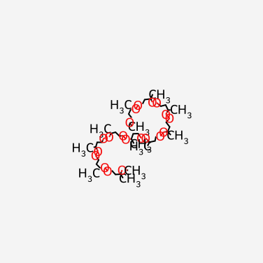 COCCC(C)OOCCC(C)OOCCC(C)OOCCC(C)OOCCC(C)OOCCC(C)OOCCC(C)OOCCC(C)OOCCC(C)OOCCC(C)OC